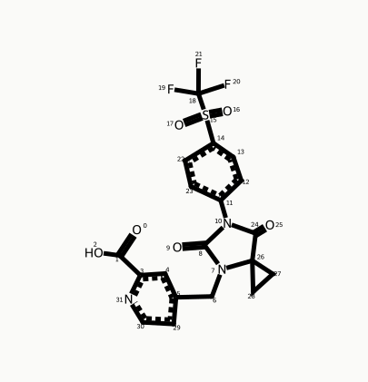 O=C(O)c1cc(CN2C(=O)N(c3ccc(S(=O)(=O)C(F)(F)F)cc3)C(=O)C23CC3)ccn1